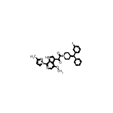 COc1cnc(-n2ccc(C)n2)c2[nH]cc(C(=O)C(=O)N3CCC(=C(c4ccccc4)c4cccc(F)c4)CC3)c12